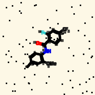 COc1cc(C)ccc1NC(=O)c1ccc(C(F)(F)F)cc1F